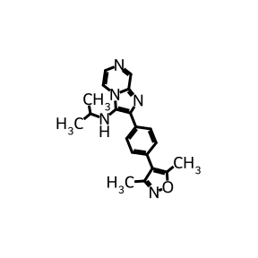 Cc1noc(C)c1-c1ccc(-c2nc3cnccn3c2NC(C)C)cc1